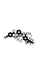 CCc1cc(C(F)(C(F)(F)F)C(F)(F)C(F)(F)F)cc(C)c1NC(=O)c1cccc(NC(=O)c2ccc(C#N)cc2)c1OC